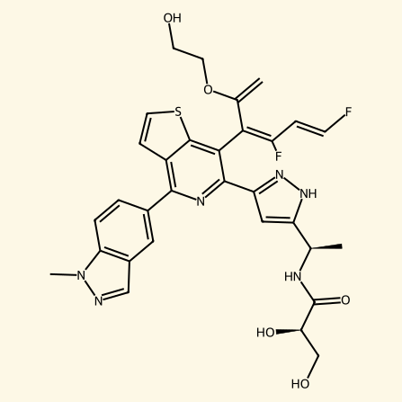 C=C(OCCO)/C(=C(F)\C=C\F)c1c(-c2cc([C@@H](C)NC(=O)[C@H](O)CO)[nH]n2)nc(-c2ccc3c(cnn3C)c2)c2ccsc12